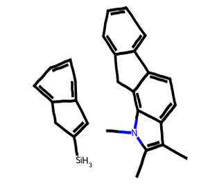 Cc1c(C)n(C)c2c3c(ccc12)-c1ccccc1C3.[SiH3]C1=Cc2ccccc2C1